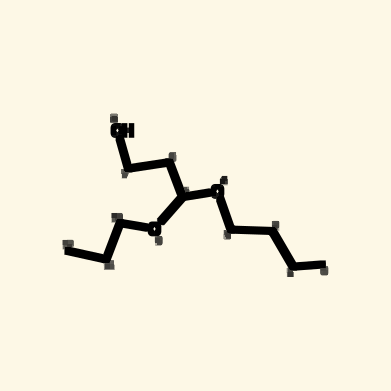 CCCCOC(CCO)OCCC